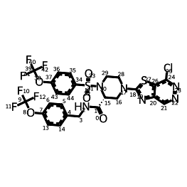 O=C(NCc1ccc(OC(F)(F)F)cc1)[C@H]1CN(c2nc3cnnc(Cl)c3s2)CCN1S(=O)(=O)c1ccc(OC(F)(F)F)cc1